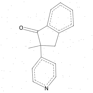 CC1(c2ccncc2)Cc2ccccc2C1=O